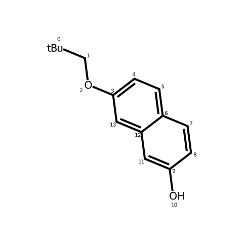 CC(C)(C)COc1ccc2ccc(O)cc2c1